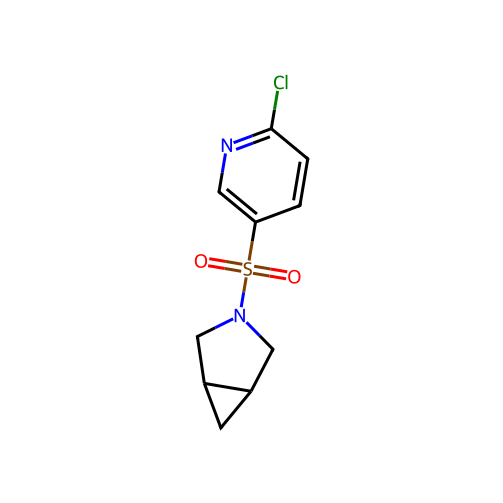 O=S(=O)(c1ccc(Cl)nc1)N1CC2CC2C1